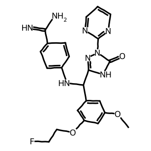 COc1cc(OCCF)cc(C(Nc2ccc(C(=N)N)cc2)c2nn(-c3ncccn3)c(=O)[nH]2)c1